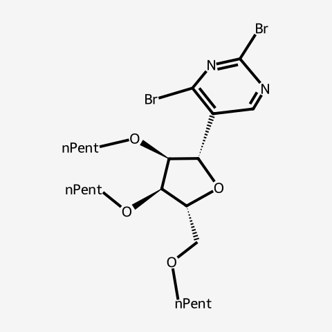 CCCCCOC[C@H]1O[C@@H](c2cnc(Br)nc2Br)[C@H](OCCCCC)[C@@H]1OCCCCC